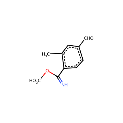 Cc1cc(C=O)ccc1C(=N)OC(=O)O